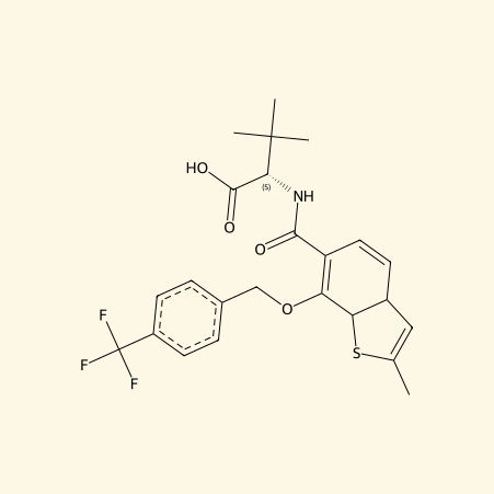 CC1=CC2C=CC(C(=O)N[C@H](C(=O)O)C(C)(C)C)=C(OCc3ccc(C(F)(F)F)cc3)C2S1